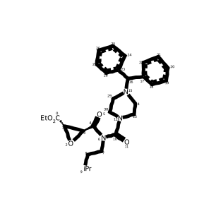 CCOC(=O)[C@H]1O[C@@H]1C(=O)N(CCC(C)C)C(=O)N1CCN(C(c2ccccc2)c2ccccc2)CC1